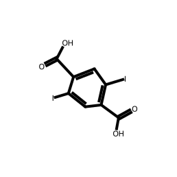 O=C(O)c1cc(I)c(C(=O)O)cc1I